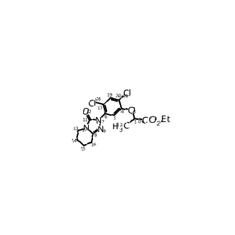 CCOC(=O)C(C)Oc1cc(-n2nc3n(c2=O)CCCC3)c(Cl)cc1Cl